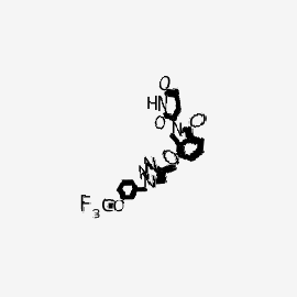 O=C1CCC(N2Cc3c(OCc4cn(Cc5cccc(OC(F)(F)F)c5)nn4)cccc3C2=O)C(=O)N1